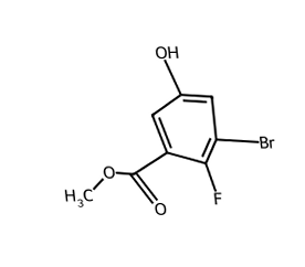 COC(=O)c1cc(O)cc(Br)c1F